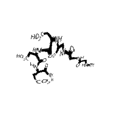 CC(C)NCC(=O)NCC(=O)NCC(=O)NC(CC(=O)O)C(=O)NC(CC(=O)O)C(=O)NC(CC(=O)O)C(=O)C(C)C